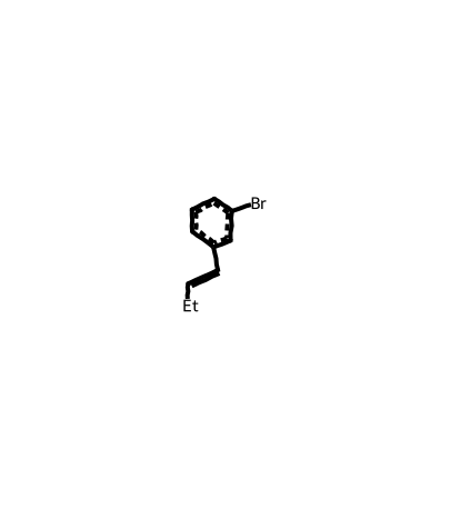 CC/C=C/c1cccc(Br)c1